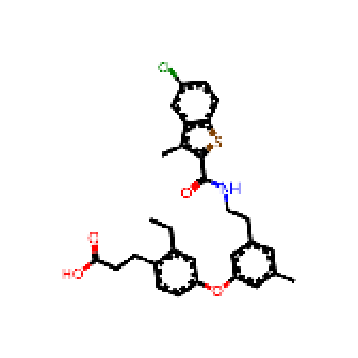 CCc1cc(Oc2cc(C)cc(CCNC(=O)c3sc4ccc(Cl)cc4c3C)c2)ccc1CCC(=O)O